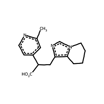 Cc1cc(C(Cc2ncn3c2CCCC3)C(=O)O)ccn1